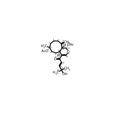 C=C1CCC[C@@](C)(OC(C)=O)CC[C@@H]2C(C(=O)/C=C/C(C)(C)O)=CO[C@@H](OC(C)=O)[C@@H]12